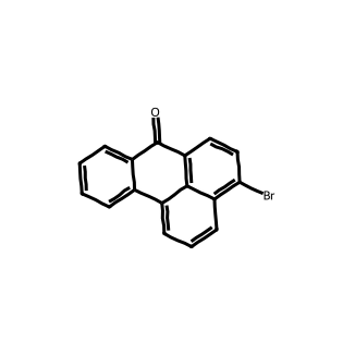 O=C1c2ccccc2-c2cccc3c(Br)ccc1c23